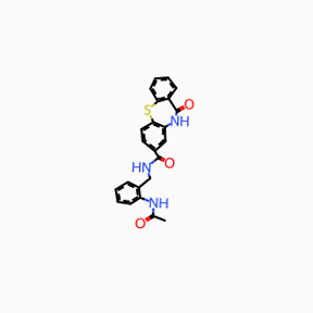 CC(=O)Nc1ccccc1CNC(=O)c1ccc2c(c1)NC(=O)c1ccccc1S2